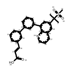 CC(C)(c1cc(-c2cccc(-c3cccc(C=CC(=O)O)c3)c2)c2ncccc2c1)S(C)(=O)=O